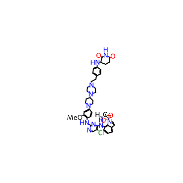 COc1cc(N2CCC(N3CCN(CCc4ccc(NC5CCC(=O)NC5=O)cc4)CC3)CC2)ccc1Nc1ncc(Cl)c(Nc2cccc3ccn(S(C)(=O)=O)c23)n1